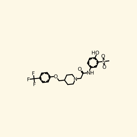 CS(=O)(=O)c1cc(NC(=O)CN2CCC(COc3ccc(C(F)(F)F)cc3)CC2)ccc1O